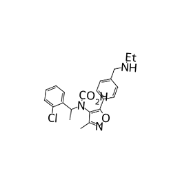 CCNCc1ccc(-c2onc(C)c2N(C(=O)O)C(C)c2ccccc2Cl)cc1